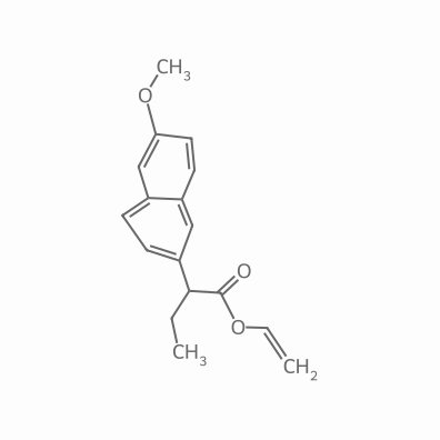 C=COC(=O)C(CC)c1ccc2cc(OC)ccc2c1